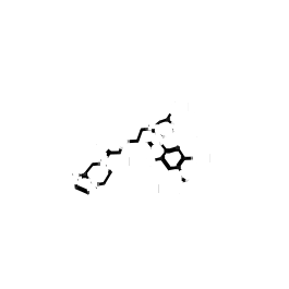 COc1cc(C)c(S(=O)(=O)N(CCOCC(=O)N2CCn3ccnc3C2)CC(C)C)c(C)c1C